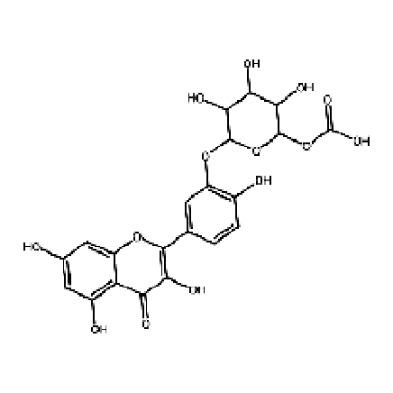 O=C(O)OC1OC(Oc2cc(-c3oc4cc(O)cc(O)c4c(=O)c3O)ccc2O)C(O)C(O)C1O